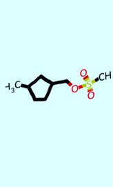 CC1CCC(COS(C)(=O)=O)C1